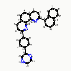 c1ccc2c(-c3ccc4ccc5ccc(-c6ccc(-c7cnccn7)cc6)nc5c4n3)cccc2c1